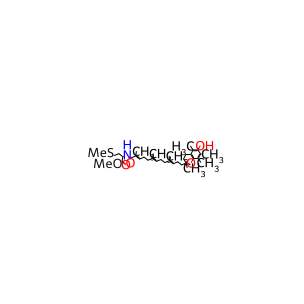 COC(=O)C(CCSC)NC(=O)/C(C)=C/CC/C(C)=C/CC/C(C)=C/CCC1(C)CCc2c(C)c(O)c(C)c(C)c2O1